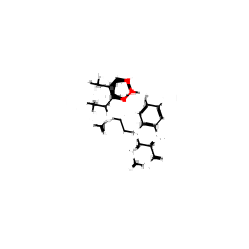 Cc1cc2nc3c(=O)[nH]c(=O)nc-3n(CCN(C(=O)O)C(c3ccccc3C(F)(F)F)C(C)(C)C)c2cc1OC1CCCC1